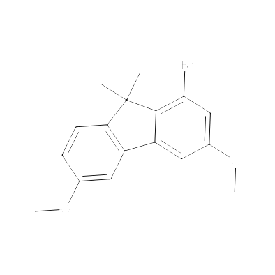 COc1ccc2c(c1)-c1cc(OC)cc(Br)c1C2(C)C